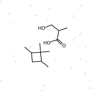 CC(CO)C(=O)O.CC1CC(C)C1(C)C